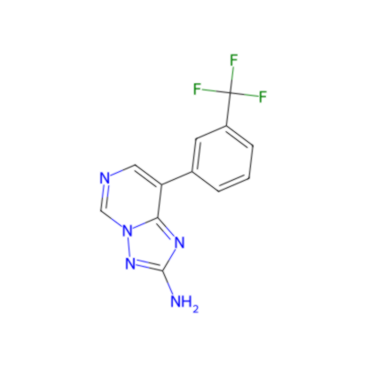 Nc1nc2c(-c3cccc(C(F)(F)F)c3)cncn2n1